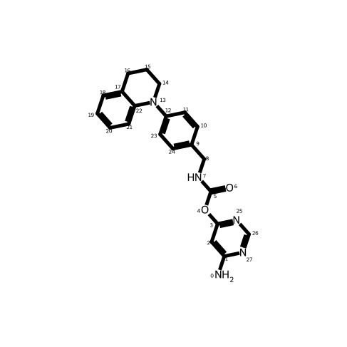 Nc1cc(OC(=O)NCc2ccc(N3CCCc4ccccc43)cc2)ncn1